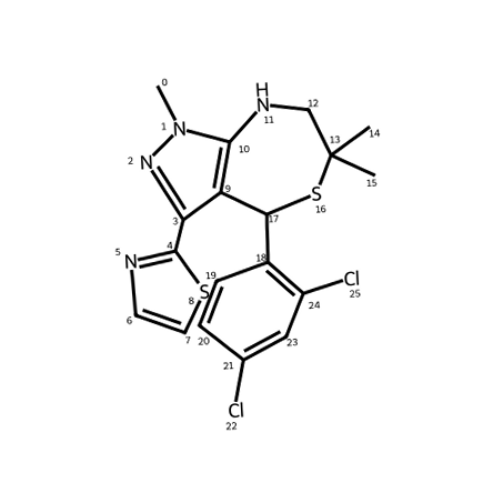 Cn1nc(-c2nccs2)c2c1NCC(C)(C)SC2c1ccc(Cl)cc1Cl